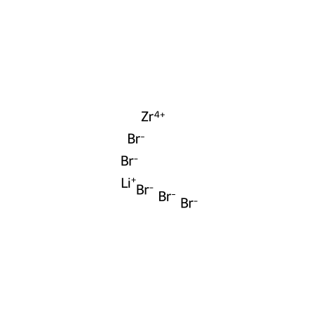 [Br-].[Br-].[Br-].[Br-].[Br-].[Li+].[Zr+4]